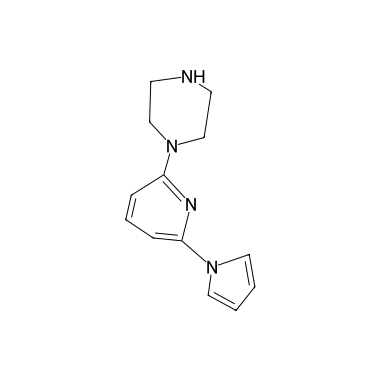 c1cc(N2CCNCC2)nc(-n2cccc2)c1